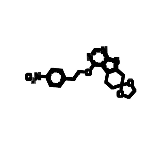 O=[N+]([O-])c1ccc(CCOc2ncnc3sc4c(c23)CCC2(C4)OCCO2)cc1